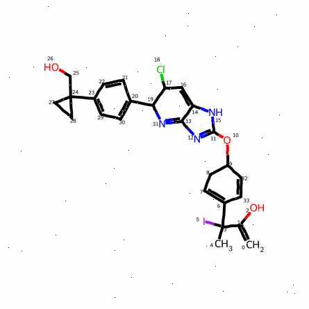 C=C(O)C(C)(I)C1=CCC(Oc2nc3c([nH]2)=CC(Cl)C(c2ccc(C4(CO)CC4)cc2)N=3)C=C1